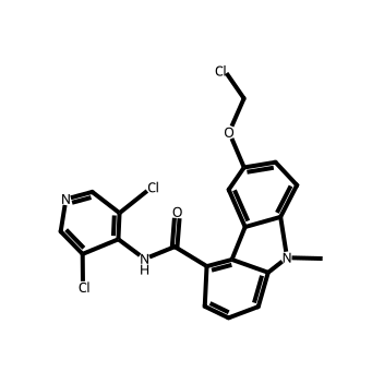 Cn1c2ccc(OCCl)cc2c2c(C(=O)Nc3c(Cl)cncc3Cl)cccc21